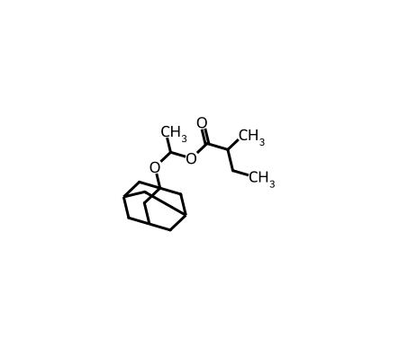 CCC(C)C(=O)OC(C)OC12CC3CC(CC(C3)C1)C2